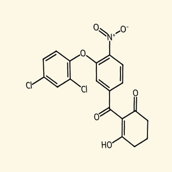 O=C1CCCC(O)=C1C(=O)c1ccc([N+](=O)[O-])c(Oc2ccc(Cl)cc2Cl)c1